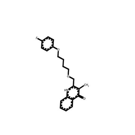 Cc1c(COCCCCOc2ccc(F)cc2)[nH]c2ccccc2c1=O